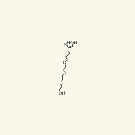 CCCCOCCOCCOCCO.c1c[nH]nn1